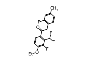 CCOc1ccc(C(=O)Cc2ccc(C)cc2F)c(C(F)F)c1F